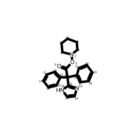 O=C(ON1CCCCC1)C(c1ccccc1)(c1ccccc1)c1ncc[nH]1